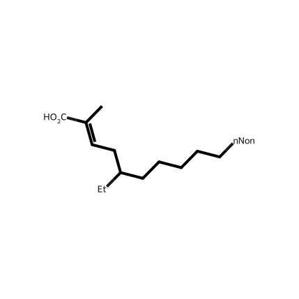 CCCCCCCCCCCCCCC(CC)CC=C(C)C(=O)O